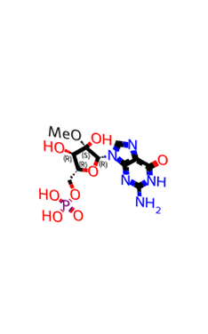 CO[C@@]1(O)[C@H](O)[C@@H](COP(=O)(O)O)O[C@H]1n1cnc2c(=O)[nH]c(N)nc21